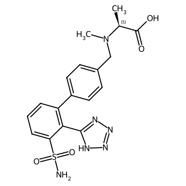 C[C@@H](C(=O)O)N(C)Cc1ccc(-c2cccc(S(N)(=O)=O)c2-c2nnn[nH]2)cc1